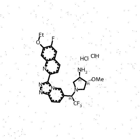 CCOc1cc2nc(-c3nnc4ccc([C@@H](N5C[C@@H](N)[C@H](OC)C5)C(F)(F)F)cn34)ccc2cc1F.Cl.Cl